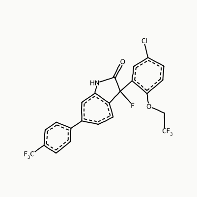 O=C1Nc2cc(-c3ccc(C(F)(F)F)cc3)ccc2C1(F)c1cc(Cl)ccc1OCC(F)(F)F